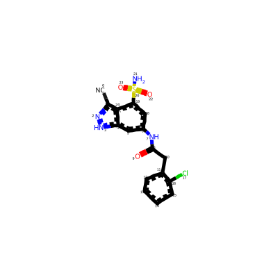 N#Cc1n[nH]c2cc(NC(=O)Cc3ccccc3Cl)cc(S(N)(=O)=O)c12